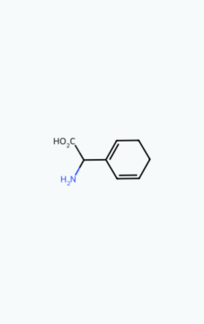 NC(C(=O)O)C1=CCCC=C1